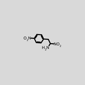 NC(Cc1ccc([N+](=O)[O-])cc1)[N+](=O)[O-]